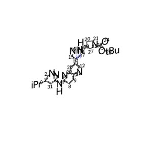 CC(C)c1cnnc(Nc2ccc3ncc(/C(C=N)=C/N[C@@H]4CCN(C(=O)OC(C)(C)C)C4)cc3n2)c1